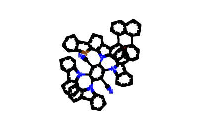 N#Cc1c(-n2c3ccccc3c3ccccc32)c(-n2c3ccccc3c3ccccc32)c(C#N)c(-n2c3cccc(-c4cccc5cccc(-c6ccccc6)c45)c3c3ccc4c5ccccc5sc4c32)c1-n1c2ccccc2c2ccccc21